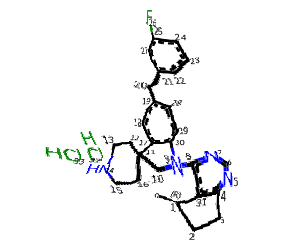 C[C@@H]1CCc2ncnc(N3CC4(CCNCC4)c4cc(Cc5cccc(F)c5)ccc43)c21.Cl.Cl